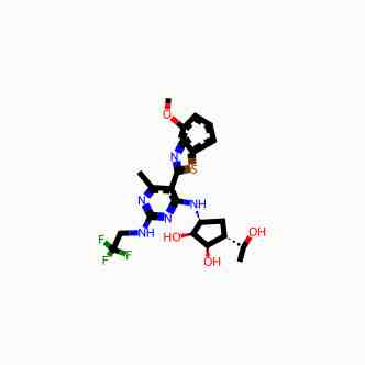 COc1cccc2sc(-c3c(C)nc(NCC(F)(F)F)nc3N[C@@H]3C[C@H](C(C)O)[C@@H](O)[C@H]3O)nc12